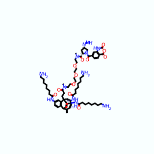 C=C1/C=C\C(NC(=O)CCCCCCCN)=C/C2(CCC(=O)N(C)CCOCCOCCOCCN(C)C(=O)[C@@H]3C[C@H](N=N)CN3C(=O)c3ccc4c(=O)oc(=O)[nH]c4c3)c3cc(NC(=O)CCCCCCCN)ccc3C1c1ccc(NC(=O)CCCCCCCN)cc12